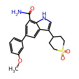 COc1cccc(-c2cc(C(N)=O)c3[nH]cc(C4CCS(=O)(=O)CC4)c3c2)c1